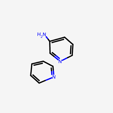 Nc1cccnc1.c1ccncc1